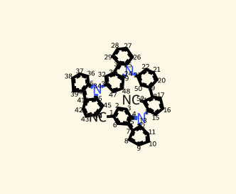 N#Cc1ccc2c(c1)c1ccccc1n2-c1cccc(-c2cccc(-n3c4ccccc4c4cc(-n5c6ccccc6c6ccccc65)ccc43)c2)c1C#N